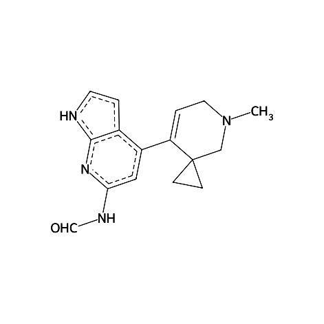 CN1CC=C(c2cc(NC=O)nc3[nH]ccc23)C2(CC2)C1